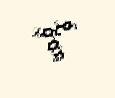 CCC(Oc1cccc(-n2c(C)c(C(=O)c3ccc(OC)cc3)c3ccc(OC(F)(F)F)cc32)c1)C(=O)O